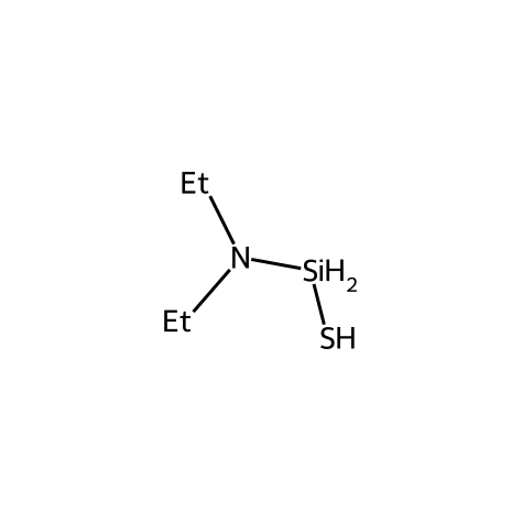 CCN(CC)[SiH2]S